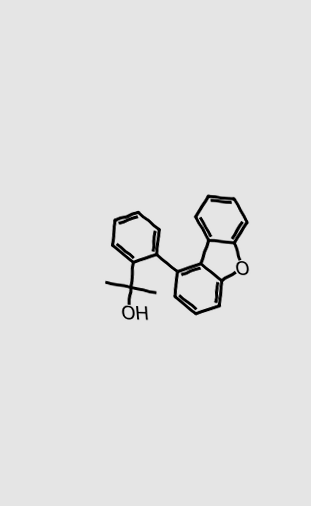 CC(C)(O)c1ccccc1-c1cccc2oc3ccccc3c12